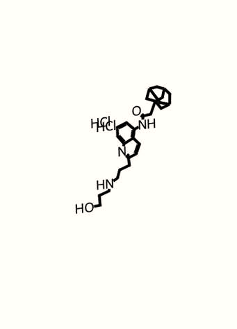 Cl.Cl.O=C(CC12CC3CC(CC(C3)C1)C2)Nc1cccc2nc(CCCNCCCO)ccc12